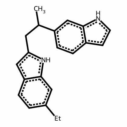 CCc1ccc2cc(CC(C)c3ccc4cc[nH]c4c3)[nH]c2c1